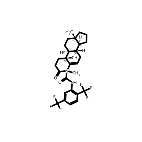 C[C@@]12CCC[C@H]1[C@@H]1CC=C3[C@](C)(CCC(=O)[N+]3(C)C(=O)Nc3cc(C(F)(F)F)ccc3C(F)(F)F)[C@H]1CC2